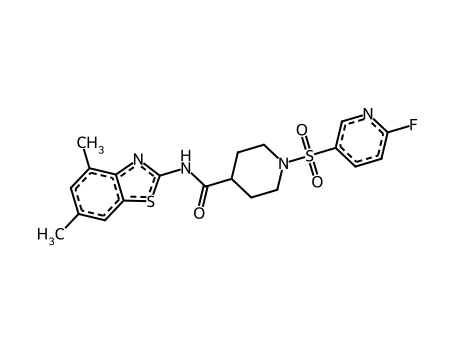 Cc1cc(C)c2nc(NC(=O)C3CCN(S(=O)(=O)c4ccc(F)nc4)CC3)sc2c1